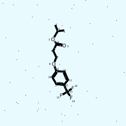 CC(C)OC(=O)CCOc1ccc(C(F)(F)F)cc1